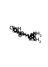 Nc1nc(N)c2ncn(CCCCOC(=O)NCc3ccc(Cl)cc3)c2n1